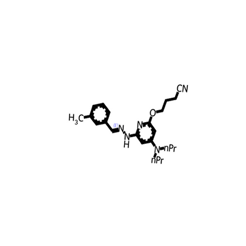 CCCN(CCC)c1cc(N/N=C/c2cccc(C)c2)nc(OCCCC#N)c1